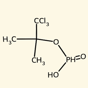 CC(C)(O[PH](=O)O)C(Cl)(Cl)Cl